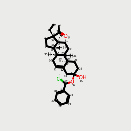 CC[C@]1(C(C)=O)CC[C@H]2[C@@H]3CC=C4CC(O)(OC(Cl)c5ccccc5)CC[C@]4(C)[C@H]3CC[C@@]21C